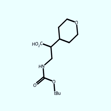 CC(C)(C)OC(=O)NCC(C(=O)O)C1CCOCC1